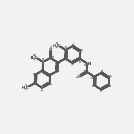 Cc1cc2c(cn1)cc(-c1cc(NC(=O)c3ccccc3)ccc1C)c(=O)n2C